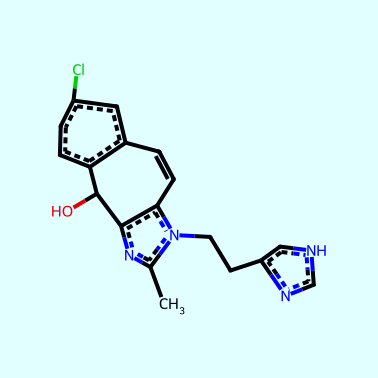 Cc1nc2c(n1CCc1c[nH]cn1)C=Cc1cc(Cl)ccc1C2O